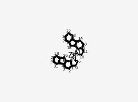 C1=c2ccc3c(c2[N]([Zr][N]2CC=c4ccc5c(c42)C=c2ccccc2=5)C1)C=c1ccccc1=3